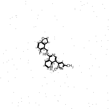 Cc1cc(-c2cnc(NCc3c(F)ccc4c3CCO4)c3cccnc23)n(C)n1